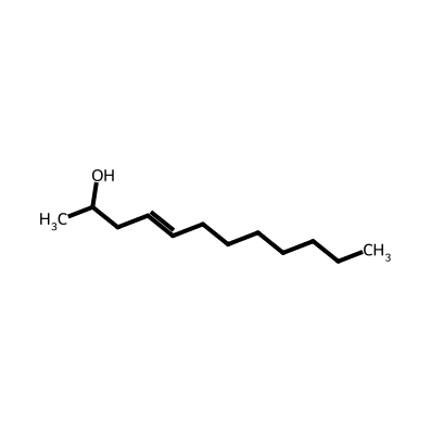 CCCCCCCC=CCC(C)O